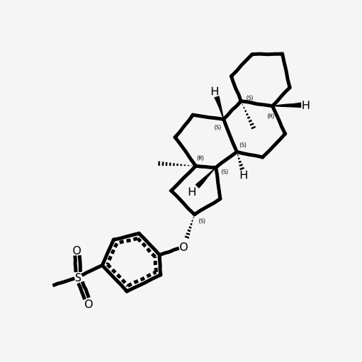 C[C@]12CC[C@H]3[C@@H](CC[C@H]4CCCC[C@@]43C)[C@@H]1C[C@H](Oc1ccc(S(C)(=O)=O)cc1)C2